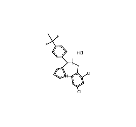 CC(F)(F)c1ccc(C2NCc3c(Cl)cc(Cl)cc3-n3cccc32)cc1.Cl